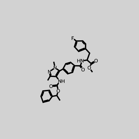 COC(=O)C(Cc1ccc(F)cc1)NC(=O)c1ccc(-c2c(NC(=O)OC(C)c3ccccc3)c(C)nn2C)cc1